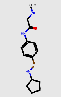 O=CNCC(=O)Nc1ccc(SNC2CCCC2)cc1